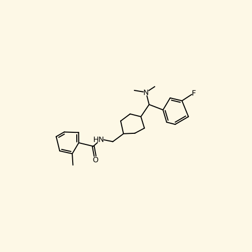 Cc1ccccc1C(=O)NCC1CCC(C(c2cccc(F)c2)N(C)C)CC1